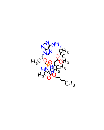 CCCCCOC(=O)C(C)(C)NP(=O)(CO[C@H](C)Cn1cnc2c(N)ncnc21)N[C@H](C)CC(=O)OC(C)C